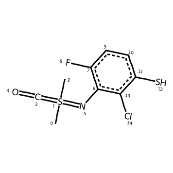 CS(C)(=C=O)=Nc1c(F)ccc(S)c1Cl